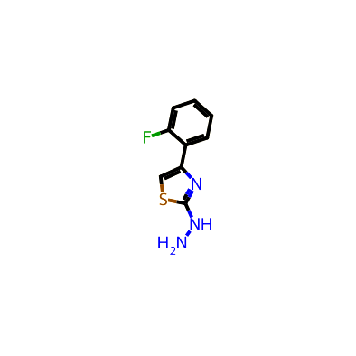 NNc1nc(-c2ccccc2F)cs1